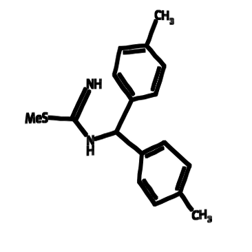 CSC(=N)NC(c1ccc(C)cc1)c1ccc(C)cc1